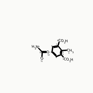 Cc1c(C(=O)O)cccc1C(=O)O.NC([O])=O